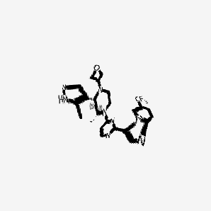 Cc1[nH]ncc1[C@H]1[C@@H](C)N(c2ccnc(-c3cnc4ccc(C(F)(F)F)cn34)n2)CCN1C1COC1